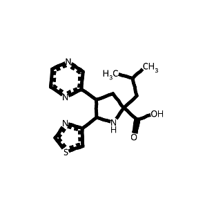 CC(C)CC1(C(=O)O)CC(c2cnccn2)C(c2cscn2)N1